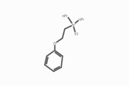 CCC[N+](CC)(CCC)CCOc1ccccc1